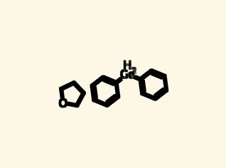 C1CCOC1.c1cc[c]([GeH2][c]2ccccc2)cc1